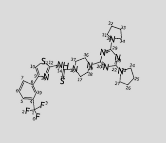 FC(F)(F)c1cccc(-c2csc(NC(=S)N3CCN(c4nc(N5CCCC5)nc(N5CCCC5)n4)CC3)n2)c1